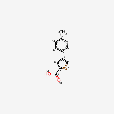 Cc1ccc(-c2csc(C(=O)O)c2)cc1